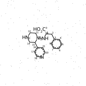 O=C(O)[C@H](Cc1ccccc1)NN1CCNCC1c1ccncc1